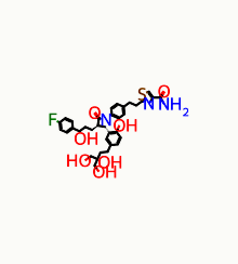 NC(=O)c1csc(CCc2ccc(N3C(=O)[C@H](CC[C@H](O)c4ccc(F)cc4)[C@H]3c3cc(CCC(O)(CO)CO)ccc3O)cc2)n1